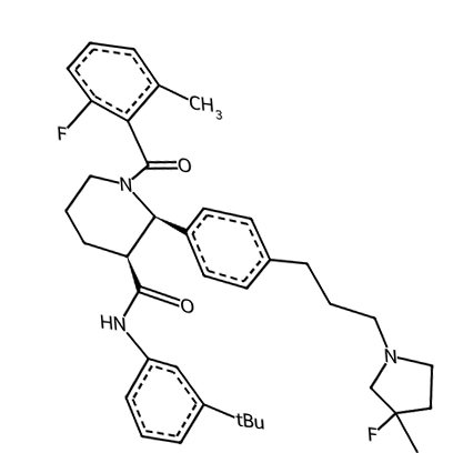 Cc1cccc(F)c1C(=O)N1CCC[C@H](C(=O)Nc2cccc(C(C)(C)C)c2)[C@@H]1c1ccc(CCCN2CCC(F)(F)C2)cc1